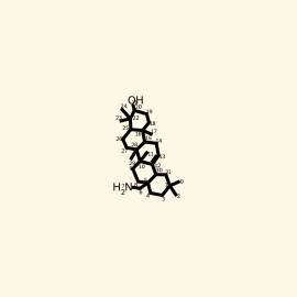 CC1(C)CCC2(CN)CCC3(C)C(=CCC4C5(C)CCC(O)C(C)(C)C5CCC43C)C2C1